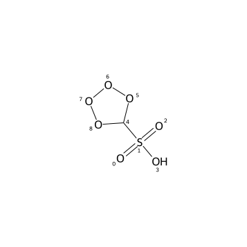 O=S(=O)(O)C1OOOO1